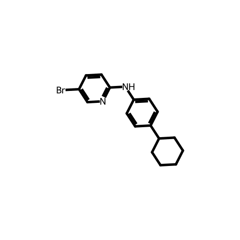 Brc1ccc(Nc2ccc(C3CCCCC3)cc2)nc1